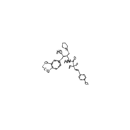 O=C(NC(CN1CCCC1)C(O)c1ccc2c(c1)OCCO2)C(F)(F)/C=C/c1ccc(Cl)cc1